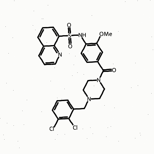 COc1cc(C(=O)N2CCN(Cc3cccc(Cl)c3Cl)CC2)ccc1NS(=O)(=O)c1cccc2cccnc12